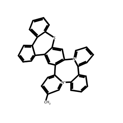 Cc1ccc2c3cc4c(cc3[n+]3ccccc3c3ccccc3[n+]2c1)sc1ccccc1c1ccccc41